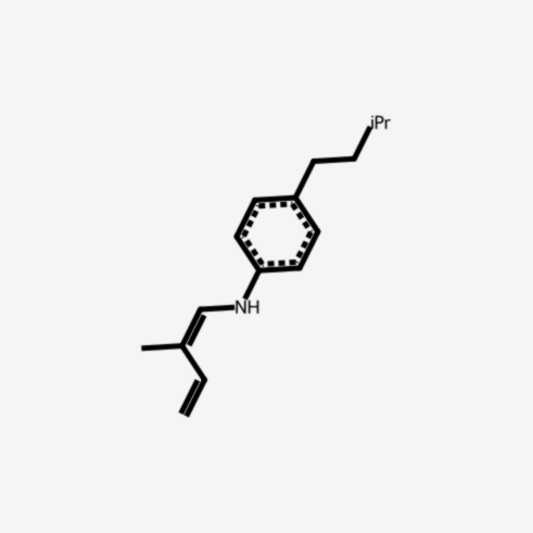 C=C/C(C)=C\Nc1ccc(CCC(C)C)cc1